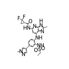 CCS(=O)(=O)Nc1cc(-c2cnn(C)c2)ccc1Nc1cc(NC(=O)[C@H]2CC2(F)F)nc2[nH]c(C)nc12